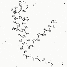 CCCCCCCC/C=C\CCCCCCCC(=O)OCC(C[N+](C)(CCOC)CCOC)OC(=O)CCCCCCC/C=C\CCCCCCCC.[Cl-]